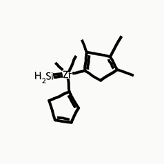 CC1=C(C)C(C)=[C]([Zr]([CH3])([CH3])(=[SiH2])[C]2=CC=CC2)C1